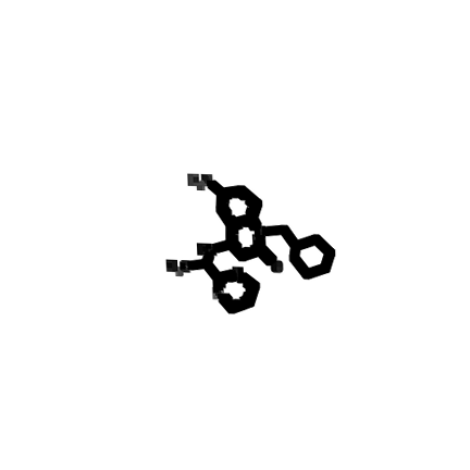 CC(Nc1cc(=O)n(CC2CCCCC2)c2ccc(N)cc12)c1ncccn1